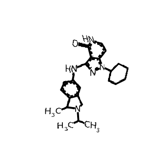 CC(C)N1Cc2cc(Nc3nn(C4CCCCC4)c4cc[nH]c(=O)c34)ccc2C1C